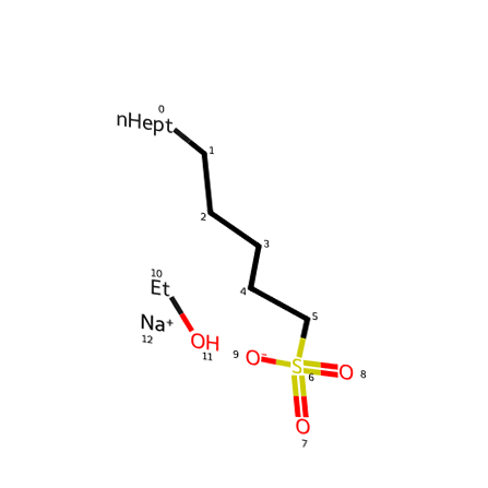 CCCCCCCCCCCCS(=O)(=O)[O-].CCO.[Na+]